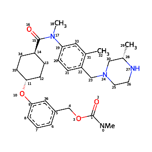 CNC(=O)OCc1cccc(O[C@H]2CC[C@H](C(=O)N(C)c3ccc(CN4CCN[C@@H](C)C4)c(C)c3)CC2)c1